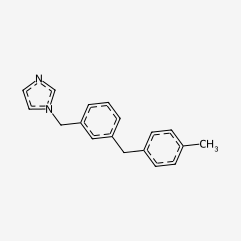 Cc1ccc(Cc2cccc(Cn3ccnc3)c2)cc1